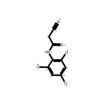 N#CCC(=O)Nc1c(Cl)cc(Cl)cc1Cl